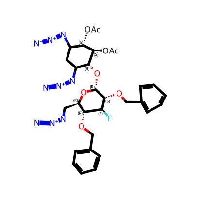 CC(=O)O[C@H]1[C@H](O[C@H]2O[C@H](CN=[N+]=[N-])[C@@H](OCc3ccccc3)[C@H](F)[C@H]2OCc2ccccc2)C(N=[N+]=[N-])CC(N=[N+]=[N-])[C@@H]1OC(C)=O